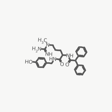 CN(CCCC(NC(=O)C(c1ccccc1)c1ccccc1)C(=O)NCc1ccc(O)cc1)C(=N)N